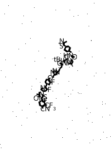 Cc1ncsc1-c1ccc(CNC(=O)[C@@H]2C[C@@H](C)CN2C(=O)[C@@H](NC(=O)CCCn2cc(COc3ccc(-c4ncc(N5C(=S)N(c6ccc(C#N)c(C(F)(F)F)c6F)C(=O)C5(C)C)cc4F)cc3F)nn2)C(C)(C)C)cc1